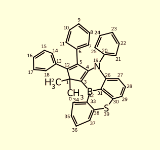 CC1(C)C2=C(C(c3ccccc3)=C1c1ccccc1)N(c1ccccc1)c1cccc3c1B2c1ccccc1S3